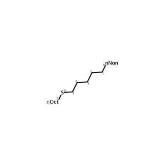 CCCCCCCCCCCCCCSCCCCCCCC